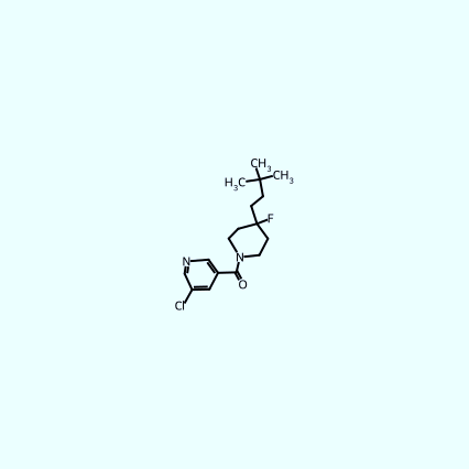 CC(C)(C)CCC1(F)CCN(C(=O)c2cncc(Cl)c2)CC1